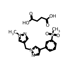 Cn1cc(Cn2cc(-c3cccc(S(C)(=O)=O)c3)cn2)cn1.O=C(O)CCC(=O)O